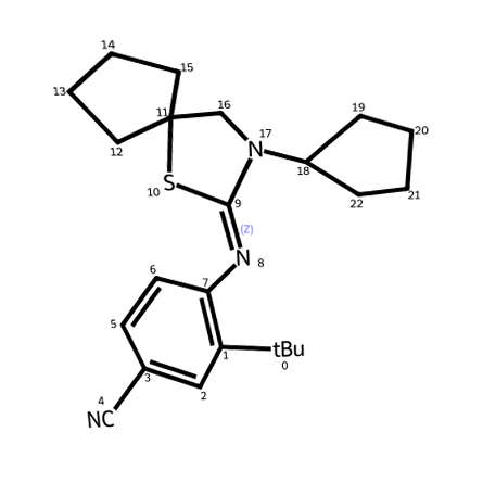 CC(C)(C)c1cc(C#N)ccc1/N=C1\SC2(CCCC2)CN1C1CCCC1